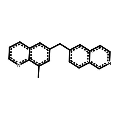 Cc1cc(Cc2ccc3cnccc3c2)cc2cccnc12